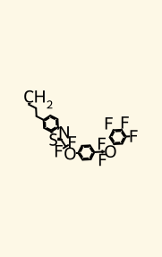 C=CCCc1ccc2nc(C(F)(F)Oc3ccc(C(F)(F)Oc4cc(F)c(F)c(F)c4)cc3)sc2c1